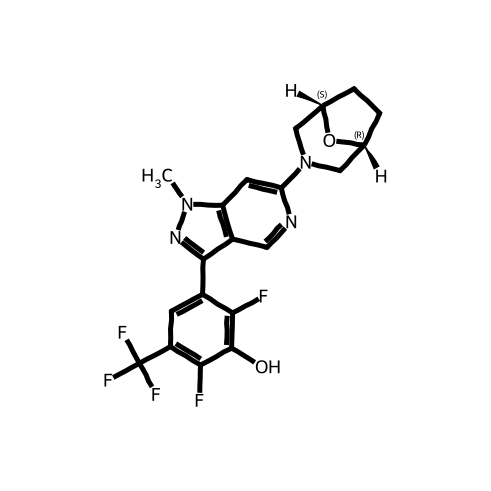 Cn1nc(-c2cc(C(F)(F)F)c(F)c(O)c2F)c2cnc(N3C[C@H]4CC[C@@H](C3)O4)cc21